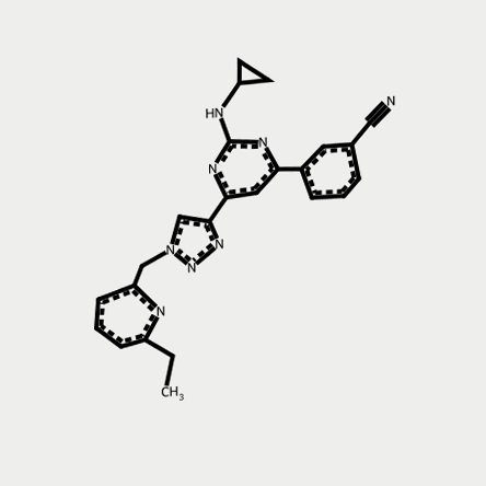 CCc1cccc(Cn2cc(-c3cc(-c4cccc(C#N)c4)nc(NC4CC4)n3)nn2)n1